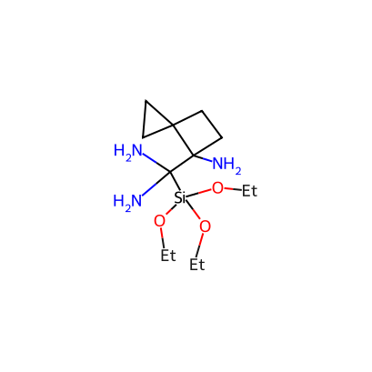 CCO[Si](OCC)(OCC)C(N)(N)C1(N)CCC12CC2